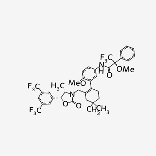 COc1ccc(NC(=O)[C@@](OC)(c2ccccc2)C(F)(F)F)cc1C1=C(CN2C(=O)O[C@H](c3cc(C(F)(F)F)cc(C(F)(F)F)c3)[C@@H]2C)CC(C)(C)CC1